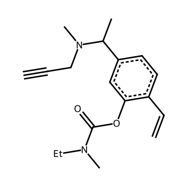 C#CCN(C)C(C)c1ccc(C=C)c(OC(=O)N(C)CC)c1